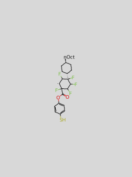 CCCCCCCC[C@H]1CC[C@H](C2(F)C(F)[CH]C(F)(C(=O)Oc3ccc(S)cc3)C(F)C2F)CC1